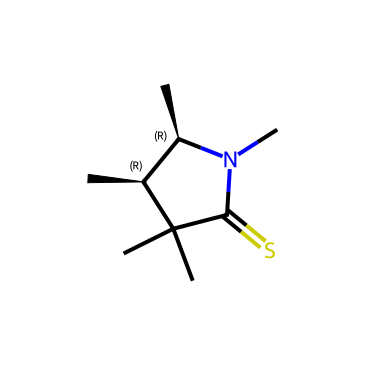 C[C@@H]1[C@H](C)C(C)(C)C(=S)N1C